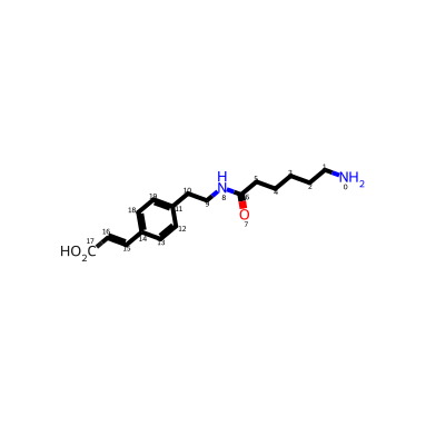 NCCCCCC(=O)NCCc1ccc(C=CC(=O)O)cc1